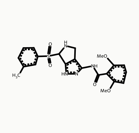 COc1cccc(OC)c1C(=O)Nc1n[nH]c2c1CNC2S(=O)(=O)c1cccc(C)c1